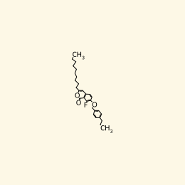 CCCCCCCCCCc1cc2ccc(OCc3ccc(CCC)cc3)c(F)c2c(=O)o1